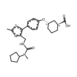 Cc1nc(CNC(=O)N(C)C2CCCC2)c(-c2ccc(O[C@H]3CCC[C@H](C(=O)O)C3)cc2)s1